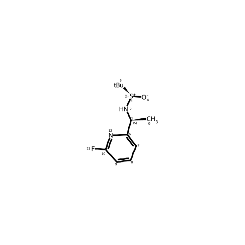 C[C@H](N[S@+]([O-])C(C)(C)C)c1cccc(F)n1